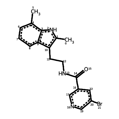 Cc1[nH]c2c(C)cccc2c1CCNC(=O)c1cncc(Br)c1